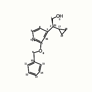 OC[C@H](c1ccnc(OCc2ccccc2)c1)C1CC1